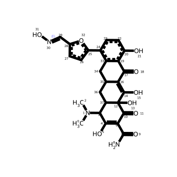 CN(C)C1C(O)=C(C(N)=O)C(=O)C2(O)C(O)=C3C(=O)c4c(O)ccc(-c5ccc(/C=N/O)o5)c4CC3CC12